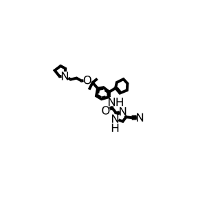 CC(C)(OCCCN1CCCC1)c1ccc(NC(=O)C2=NC(C#N)CN2)c(C2=CCCCC2)c1